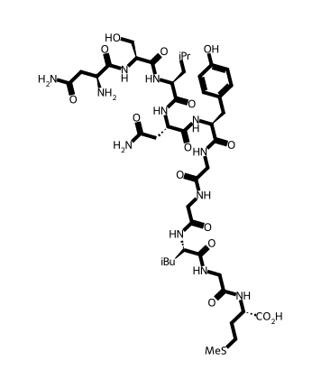 CC[C@H](C)[C@H](NC(=O)CNC(=O)CNC(=O)[C@H](Cc1ccc(O)cc1)NC(=O)[C@H](CC(N)=O)NC(=O)[C@H](CC(C)C)NC(=O)[C@H](CO)NC(=O)[C@@H](N)CC(N)=O)C(=O)NCC(=O)N[C@@H](CCSC)C(=O)O